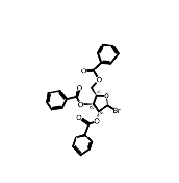 O=C(OC[C@H]1OC(Br)[C@H](OC(=O)c2ccccc2)[C@H]1OC(=O)c1ccccc1)c1ccccc1